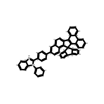 c1ccc(-n2c(-c3ccc(-c4ccc5c6c(ccc5c4)-c4c(c5ccccc5c5ccccc45)C64c5ccccc5-c5ccccc54)cc3)nc3ccccc32)cc1